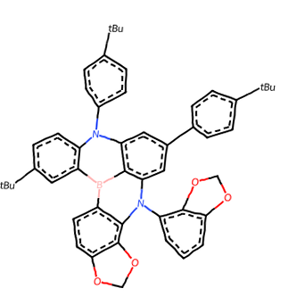 CC(C)(C)c1ccc(-c2cc3c4c(c2)N(c2cccc5c2OCO5)c2c(ccc5c2OCO5)B4c2cc(C(C)(C)C)ccc2N3c2ccc(C(C)(C)C)cc2)cc1